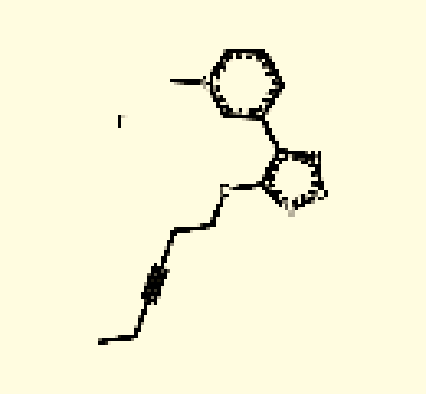 CCC#CCCOc1nonc1-c1ccc[n+](C)c1.[I-]